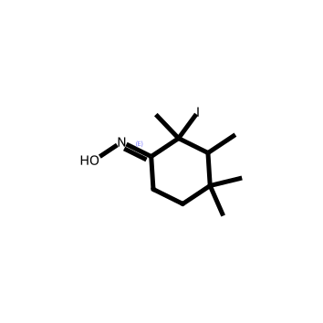 CC1C(C)(C)CC/C(=N\O)C1(C)I